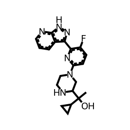 CC(O)(C1CC1)C1CN(c2ccc(F)c(-c3n[nH]c4ncccc34)n2)CCN1